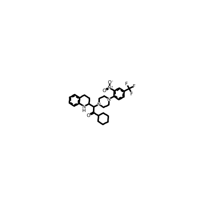 O=C(C1CCCCC1)C(C1CCc2ccccc2N1)N1CCN(c2ccc(C(F)(F)F)cc2[N+](=O)[O-])CC1